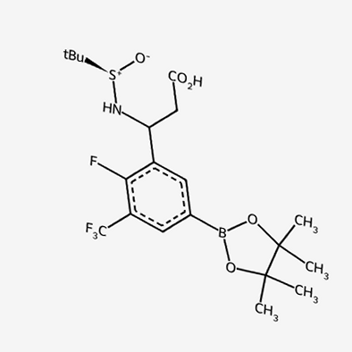 CC(C)(C)[S@@+]([O-])NC(CC(=O)O)c1cc(B2OC(C)(C)C(C)(C)O2)cc(C(F)(F)F)c1F